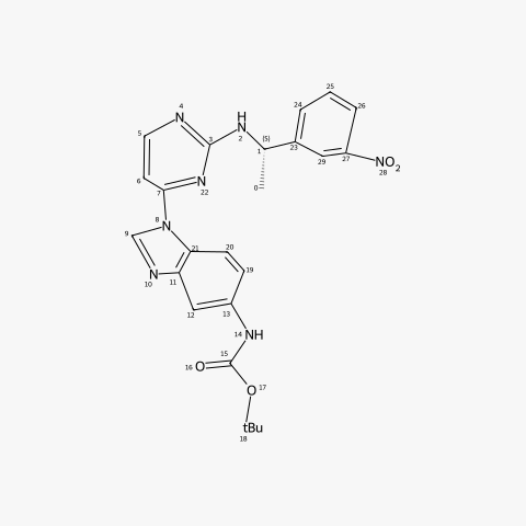 C[C@H](Nc1nccc(-n2cnc3cc(NC(=O)OC(C)(C)C)ccc32)n1)c1cccc([N+](=O)[O-])c1